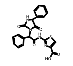 O=C(O)c1csc(NC(=O)C(c2ccccc2)N2C(=O)NC(c3ccccc3)C2=O)n1